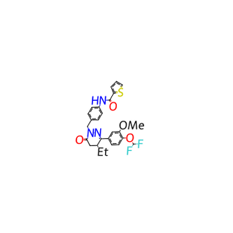 CCC1CC(=O)N(Cc2ccc(NC(=O)c3cccs3)cc2)N=C1c1ccc(OC(F)F)c(OC)c1